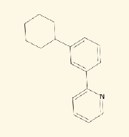 c1ccc(-c2cccc(C3CCCCC3)c2)nc1